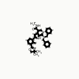 CNC(=O)c1cnc(N(Cc2ccccc2)Cc2ccccc2)c2[nH]c(-c3cccc(C4=NC(C)(C)CO4)c3F)cc12